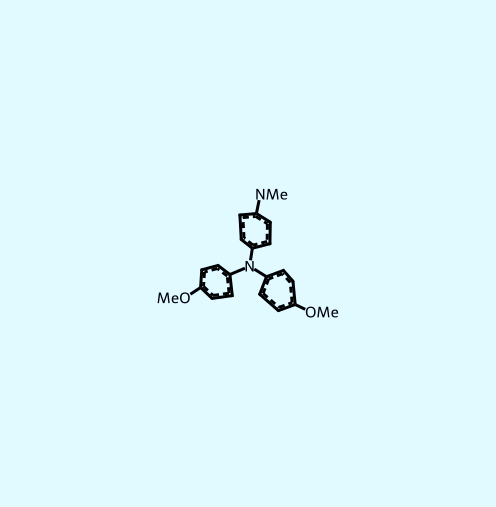 CNc1ccc(N(c2ccc(OC)cc2)c2ccc(OC)cc2)cc1